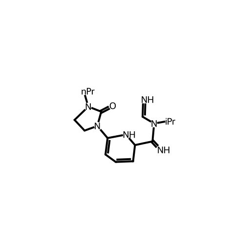 CCCN1CCN(C2=CC=CC(C(=N)N(C=N)C(C)C)N2)C1=O